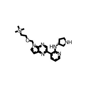 C[Si](C)(C)CCOCn1ccc2nc(-c3cccnc3N[C@H]3CCNC3)cnc21